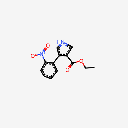 CCOC(=O)c1c[nH]cc1-c1ccccc1[N+](=O)[O-]